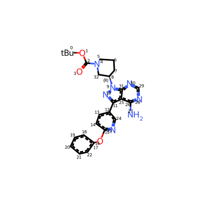 CC(C)(C)OC(=O)N1CCC[C@@H](n2nc(-c3ccc(Oc4ccccc4)nc3)c3c(N)ncnc32)C1